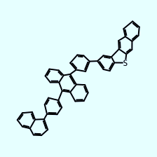 c1cc(-c2ccc3sc4cc5ccccc5cc4c3c2)cc(-c2c3ccccc3c(-c3ccc(-c4cccc5ccccc45)cc3)c3ccccc23)c1